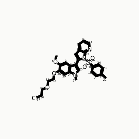 COc1cc2c(-c3cc4cccnc4n3S(=O)(=O)c3ccc(C)cc3)cn(C)c2cc1OCCOCCCl